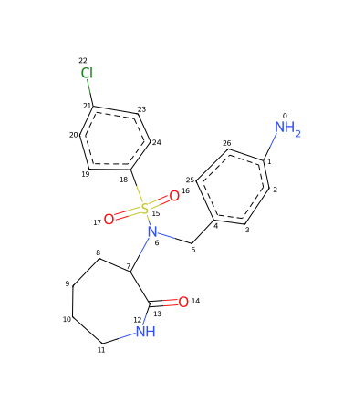 Nc1ccc(CN(C2CCCCNC2=O)S(=O)(=O)c2ccc(Cl)cc2)cc1